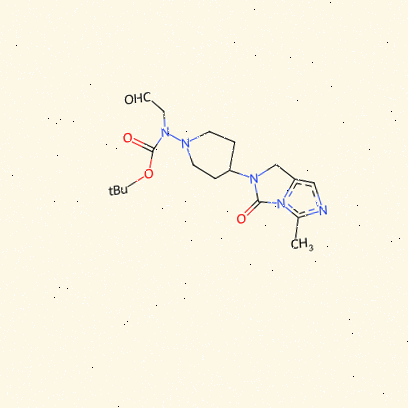 Cc1ncc2n1C(=O)N(C1CCN(N(CC=O)C(=O)OC(C)(C)C)CC1)C2